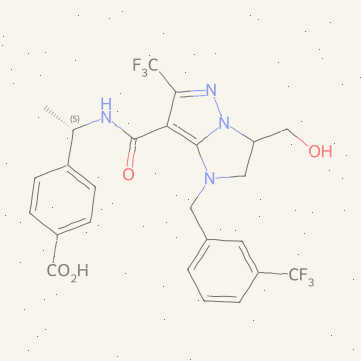 C[C@H](NC(=O)c1c(C(F)(F)F)nn2c1N(Cc1cccc(C(F)(F)F)c1)CC2CO)c1ccc(C(=O)O)cc1